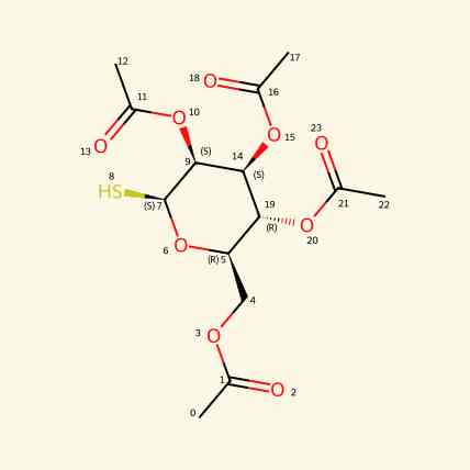 CC(=O)OC[C@H]1O[C@@H](S)[C@@H](OC(C)=O)[C@@H](OC(C)=O)[C@@H]1OC(C)=O